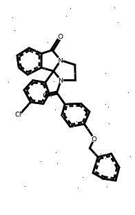 O=C(c1ccc(OCc2ccccc2)cc1)N1CCN2C(=O)c3ccccc3C12c1ccc(Cl)cc1